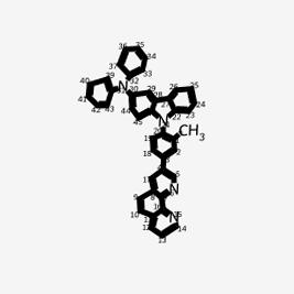 Cc1cc(-c2cnc3c(ccc4cccnc43)c2)ccc1-n1c2ccccc2c2cc(N(c3ccccc3)c3ccccc3)ccc21